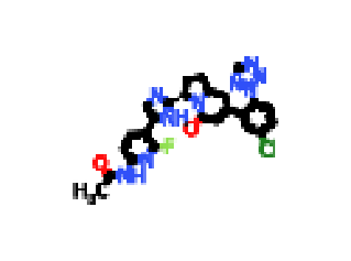 CC(=O)Nc1ccc(-c2cnc([C@@H]3CCC4CC(c5cc(Cl)ccc5-n5ncnn5)=CC(=O)N43)[nH]2)c(F)n1